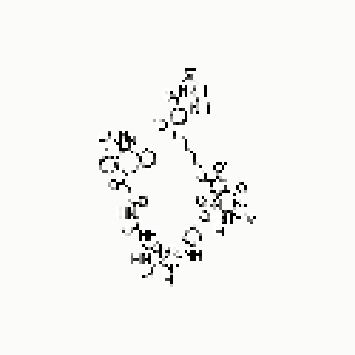 COc1cc2c(cc1OCCCCCOc1cc3c(cc1OC)C(=O)N1CC4(CC4)C[C@H]1[C@H](O)N3C(=O)OCc1ccc(NC(=O)[C@H](C)NC(=O)[C@@H](NC(=O)CNC(=O)CNC(=O)CCC(=O)N3Cc4ccccc4-c4nnn(C(C)(C)I)c4-c4ccccc43)C(C)C)cc1)NC[C@@H]1CC3(CC3)CN1C2=O